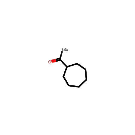 CC(C)(C)C(=O)C1CCCCCC1